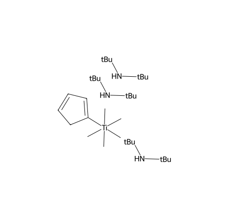 CC(C)(C)NC(C)(C)C.CC(C)(C)NC(C)(C)C.CC(C)(C)NC(C)(C)C.[CH3][Ti]([CH3])([CH3])([CH3])([CH3])[C]1=CC=CC1